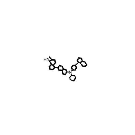 C1=CCCC(N(c2ccc(-c3cccc4ccccc34)cc2)c2ccc3cc(-c4cccc5c6c(ccc45)CN6)ccc3c2)=C1